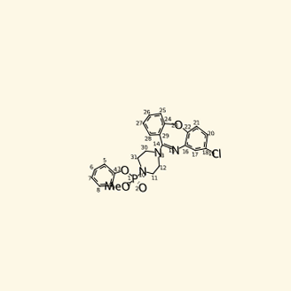 COP(=O)(Oc1ccccc1)N1CCN(C2=Nc3cc(Cl)ccc3Oc3ccccc32)CC1